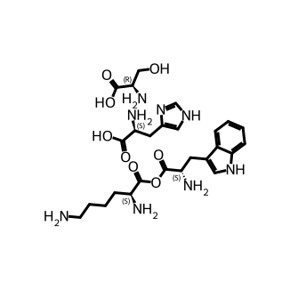 NCCCC[C@H](N)C(=O)OC(=O)[C@@H](N)Cc1c[nH]c2ccccc12.N[C@@H](Cc1c[nH]cn1)C(=O)O.N[C@H](CO)C(=O)O